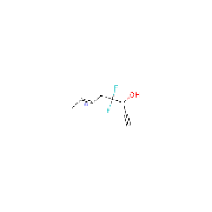 C#CC(O)C(F)(F)C/C=C/C